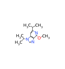 COc1nc(C(C)C)cc2c1ncn2C(C)C